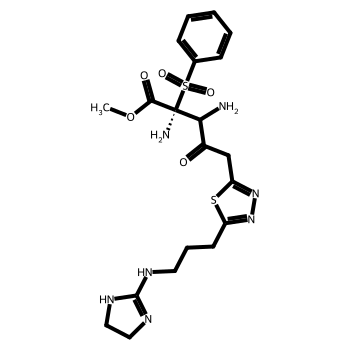 COC(=O)[C@](N)(C(N)C(=O)Cc1nnc(CCCNC2=NCCN2)s1)S(=O)(=O)c1ccccc1